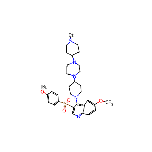 CCN1CCC(N2CCN(C3CCN(c4c(S(=O)(=O)c5ccc(OC(C)(C)C)cc5)cnc5ccc(OC(F)(F)F)cc45)CC3)CC2)CC1